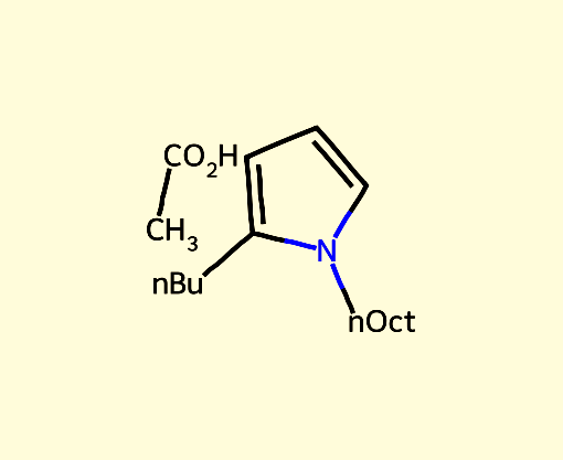 CC(=O)O.CCCCCCCCn1cccc1CCCC